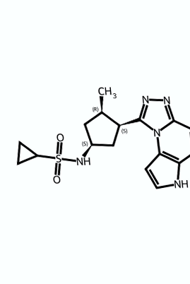 C[C@@H]1C[C@H](NS(=O)(=O)C2CC2)C[C@@H]1c1nnc2cnc3[nH]ccc3n12